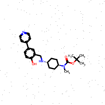 CN(C(=O)OC(C)(C)C)[C@H]1CC[C@H](NCc2cc(-c3ccncc3)ccc2O)CC1